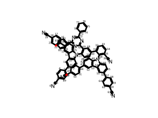 N#Cc1ccc(-c2ccc3c(c2)c2cc(-c4ccc(C#N)cc4)ccc2n3-c2ccc(-c3cccc(C#N)c3-n3c4ccc(-c5ccc(C#N)cc5)cc4c4cc(-c5ccc(C#N)cc5)ccc43)cc2-c2nc(-c3ccccc3)nc(-c3ccccc3)n2)cc1